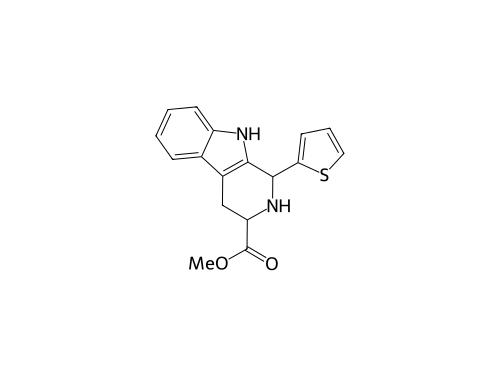 COC(=O)C1Cc2c([nH]c3ccccc23)C(c2cccs2)N1